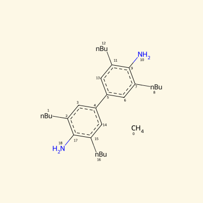 C.CCCCc1cc(-c2cc(CCCC)c(N)c(CCCC)c2)cc(CCCC)c1N